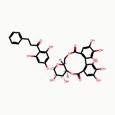 O=C1OC[C@H]2O[C@@H](Oc3cc(O)c(C(=O)CCc4ccccc4)c(O)c3)[C@H](O)[C@@H](O)[C@@H]2OC(=O)c2cc(O)c(O)c(O)c2-c2c1cc(O)c(O)c2O